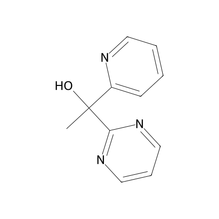 CC(O)(c1ccccn1)c1ncccn1